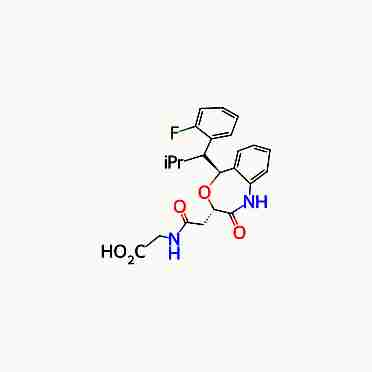 CC(C)C(c1ccccc1F)[C@@H]1O[C@@H](CC(=O)NCC(=O)O)C(=O)Nc2ccccc21